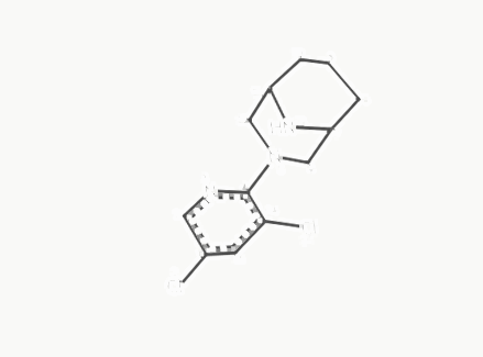 Clc1cnc(N2CC3CCCC(C2)N3)c(Cl)c1